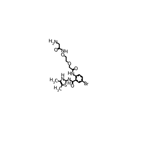 CC1=C(C)SC(NC(=O)c2cc(Br)ccc2NC(=O)COCCONC(=O)CN)N1